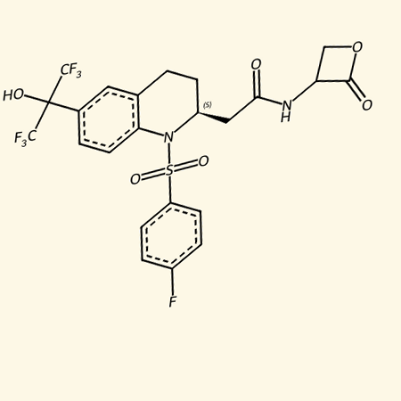 O=C(C[C@@H]1CCc2cc(C(O)(C(F)(F)F)C(F)(F)F)ccc2N1S(=O)(=O)c1ccc(F)cc1)NC1COC1=O